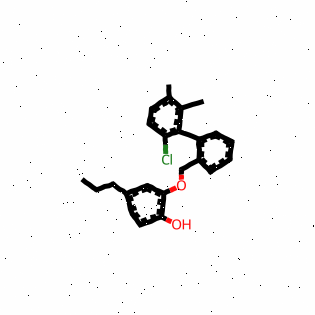 CCCc1ccc(O)c(OCc2ccccc2-c2c(Cl)ccc(C)c2C)c1